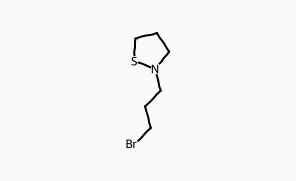 BrCCCN1CCCS1